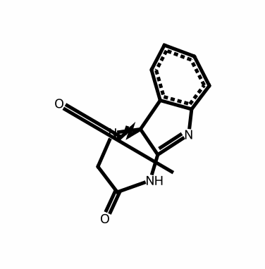 O=C1CN2C(=O)C=CC23C(=Nc2ccccc23)N1